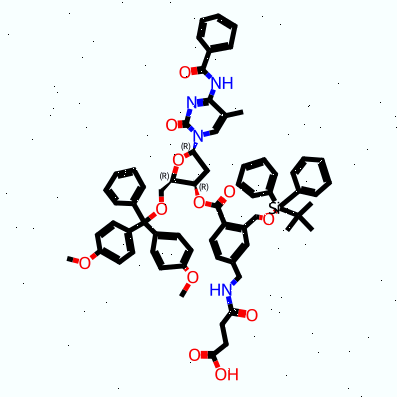 COc1ccc(C(OC[C@H]2O[C@@H](n3cc(C)c(NC(=O)c4ccccc4)nc3=O)C[C@H]2OC(=O)c2ccc(CNC(=O)CCC(=O)O)cc2CO[Si](c2ccccc2)(c2ccccc2)C(C)(C)C)(c2ccccc2)c2ccc(OC)cc2)cc1